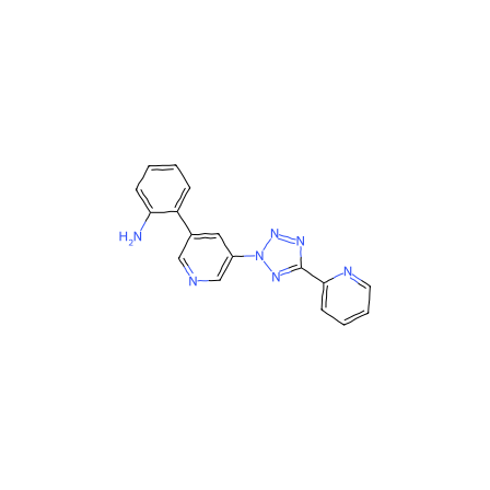 Nc1ccccc1-c1cncc(-n2nnc(-c3ccccn3)n2)c1